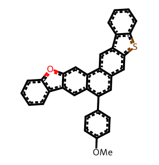 COc1ccc(-c2cc3cc4sc5ccccc5c4cc3c3cc4oc5ccccc5c4cc23)cc1